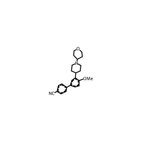 COc1ccc(-c2ccc(C#N)cc2)cc1C1CCN(C2CCOCC2)CC1